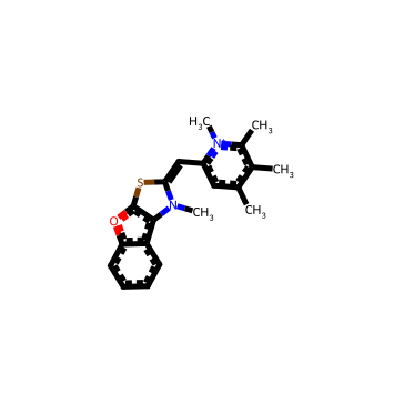 Cc1cc(C=C2Sc3oc4ccccc4c3N2C)[n+](C)c(C)c1C